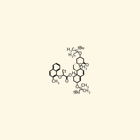 CCC(Oc1c(C)ccc2ccccc12)C(=O)O[C@H]1C[C@H](O[Si](C)(C)C(C)(C)C)C=C2C=C[C@H](C)[C@H](CC[C@@H]3C[C@@H](O[Si](C)(C)C(C)(C)C)CC(=O)O3)[C@H]21